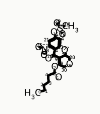 CCCCCC(=O)OC1=C(C(=O)c2ccc(OS(C)(=O)=O)cc2[N+](=O)[O-])C(=O)COC1